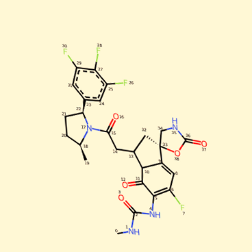 CNC(=O)NC1=C(F)C=C2C(C1=O)C(CC(=O)N1[C@@H](C)CC[C@H]1c1cc(F)c(F)c(F)c1)C[C@@]21CNC(=O)O1